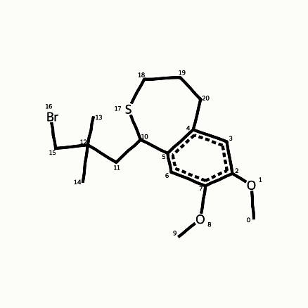 COc1cc2c(cc1OC)C(CC(C)(C)CBr)SCCC2